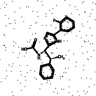 C[C@H](c1ccccc1)[C@H](NC(=O)O)c1ncc(-c2ccccc2F)[nH]1